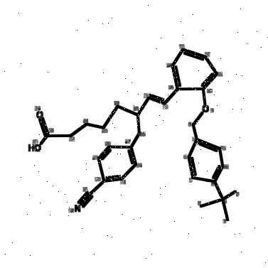 CC(C)(C)c1ccc(COc2ccccc2C=CC(CCCCC(=O)O)Cc2ccc(C#N)cc2)cc1